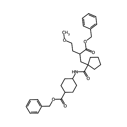 COCCC(CC1(C(=O)NC2CCC(C(=O)OCc3ccccc3)CC2)CCCC1)C(=O)OCc1ccccc1